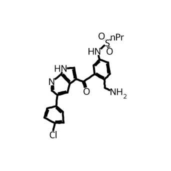 CCCS(=O)(=O)Nc1ccc(CN)c(C(=O)c2c[nH]c3ncc(-c4ccc(Cl)cc4)cc23)c1